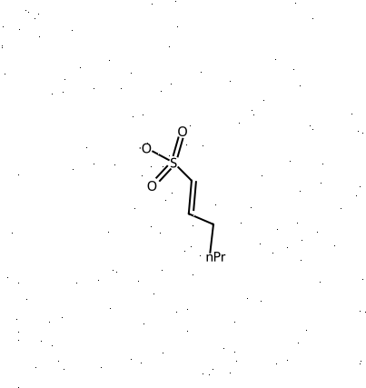 CCCC/C=C/S([O])(=O)=O